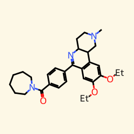 CCOc1cc2c(cc1OCC)C1CN(C)CCC1N=C2c1ccc(C(=O)N2CCCCCC2)cc1